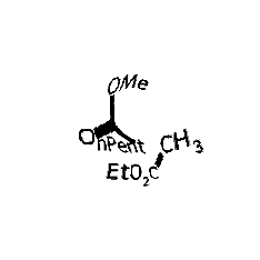 CCCCCC(=O)OC.CCOC(C)=O